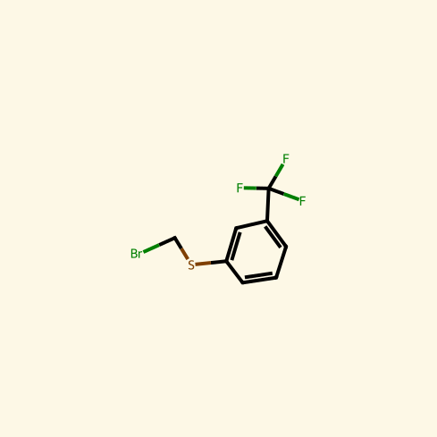 FC(F)(F)c1cccc(SCBr)c1